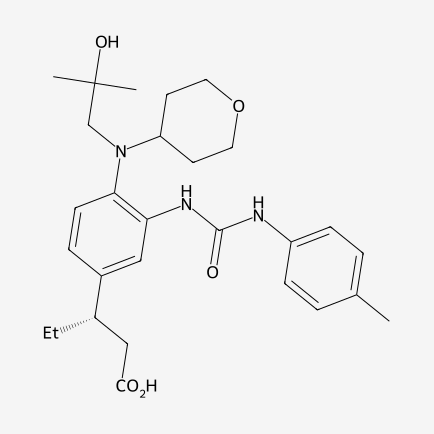 CC[C@@H](CC(=O)O)c1ccc(N(CC(C)(C)O)C2CCOCC2)c(NC(=O)Nc2ccc(C)cc2)c1